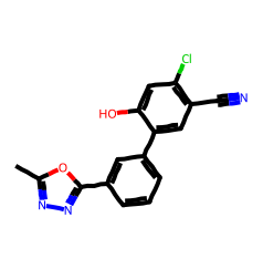 Cc1nnc(-c2cccc(-c3cc(C#N)c(Cl)cc3O)c2)o1